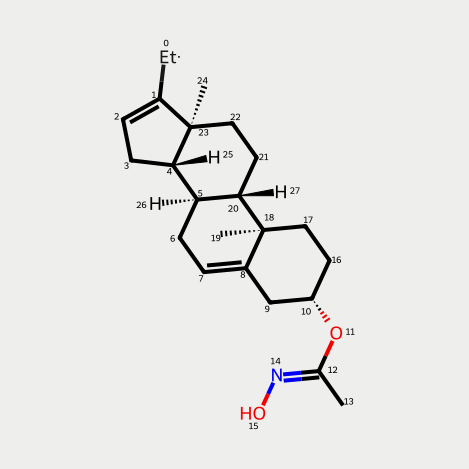 C[CH]C1=CC[C@H]2[C@@H]3CC=C4C[C@@H](OC(C)=NO)CC[C@]4(C)[C@H]3CC[C@]12C